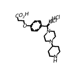 Cl.Cl.O=C(O)CCOc1ccc(C(=O)N2CCN(C3CCNCC3)CC2)cc1